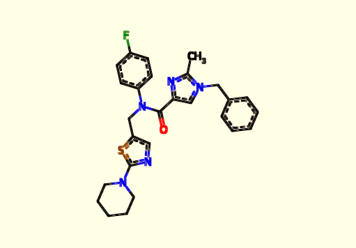 Cc1nc(C(=O)N(Cc2cnc(N3CCCCC3)s2)c2ccc(F)cc2)cn1Cc1ccccc1